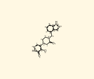 O=C1CN(c2cn[nH]c(=O)c2Cl)CCN1Cc1cccc2[nH]ncc12